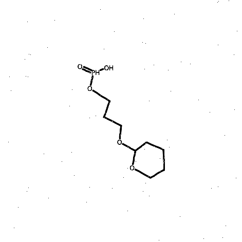 O=[PH](O)OCCCOC1CCCCO1